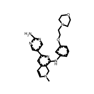 CN1C=Cc2cc(-c3cnc(N)nc3)nc(Nc3cccc(OCCN4CCOCC4)c3)c2C1